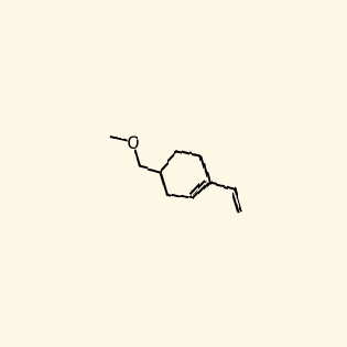 C=CC1=CCC(COC)CC1